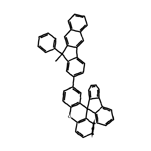 CC1(c2ccccc2)c2cc(-c3ccc4c(c3)C3(c5ccccc5-c5ccccc53)c3c(ccc5ccccc35)O4)ccc2-c2cc3ccccc3cc21